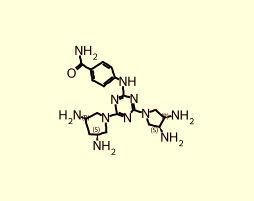 NC(=O)c1ccc(Nc2nc(N3C[C@H](N)C[C@H](N)C3)nc(N3C[C@@H](N)[C@@H](N)C3)n2)cc1